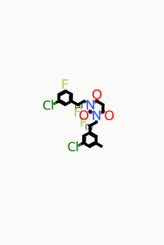 Cc1cc(Cl)cc([C@H](F)CN2C(=O)CC(=O)N(C[C@@H](F)c3cc(F)cc(Cl)c3)C2=O)c1